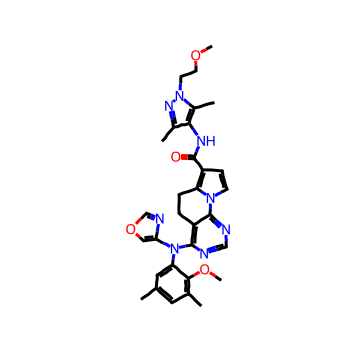 COCCn1nc(C)c(NC(=O)c2ccn3c2CCc2c(N(c4cocn4)c4cc(C)cc(C)c4OC)ncnc2-3)c1C